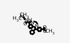 COC(=O)c1ccc2c(C3CCCCC3)c3n(c2c1)CCCn1cc(C(=O)NCCN(C)C)c2cccc-3c21